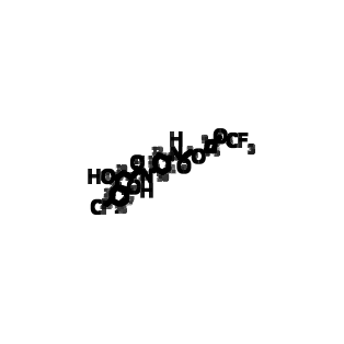 O=C(COC1CC(OC(F)(F)F)C1)NC1CCC(NC(=O)C2CC(O)c3cc(Cl)ccc3O2)CC1